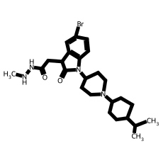 CNNC(=O)CC1C(=O)N(C2CCN(C3CCC(C(C)C)CC3)CC2)c2ccc(Br)cc21